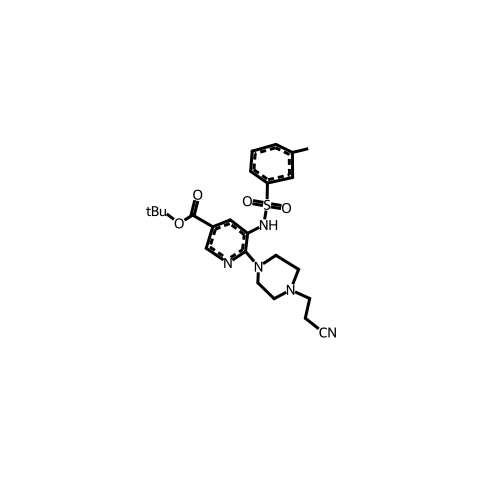 Cc1cccc(S(=O)(=O)Nc2cc(C(=O)OC(C)(C)C)cnc2N2CCN(CCC#N)CC2)c1